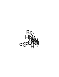 CC(C)c1ccc2c(Nc3cc(NC(=O)c4cccc(Br)c4)ccc3Oc3ccc(OCc4ccccc4)cc3)ncnc2n1